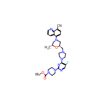 C[C@@H]1CN(c2ccc(C#N)c3ncccc23)C[C@@H](CN2CCN(c3nc(N4CCN(C(=O)OC(C)(C)C)CC4)ncc3F)CC2)O1